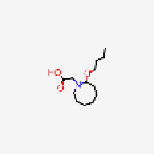 CCCCOC1CCCCCCN1CC(=O)O